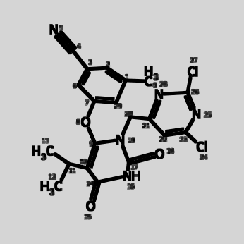 Cc1cc(C#N)cc(Oc2c(C(C)C)c(=O)[nH]c(=O)n2Cc2cc(Cl)nc(Cl)n2)c1